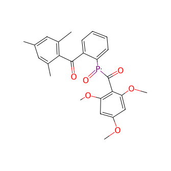 COc1cc(OC)c(C(=O)[P](=O)c2ccccc2C(=O)c2c(C)cc(C)cc2C)c(OC)c1